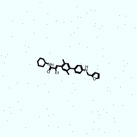 CC/C(=C\c1cc(C)c(-c2ccc(NCc3ccco3)cc2)cc1C)C(=O)NC1CCCCC1